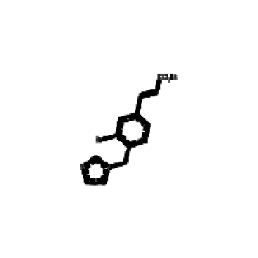 CCOC(=O)C=Cc1ccc(Cn2ccnc2)c(Br)c1